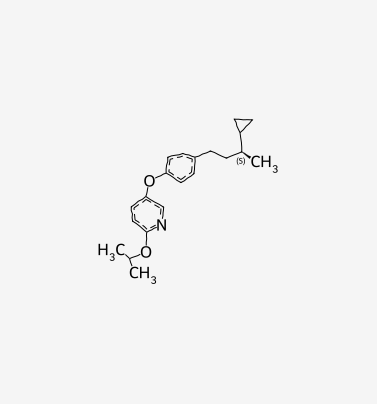 CC(C)Oc1ccc(Oc2ccc(CC[C@H](C)C3CC3)cc2)cn1